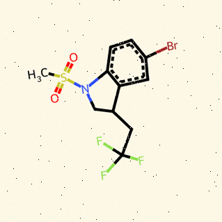 CS(=O)(=O)N1CC(CC(F)(F)F)c2cc(Br)ccc21